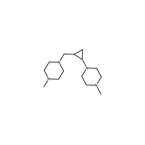 CN1CCN(CC2CC2N2CCN(I)CC2)CC1